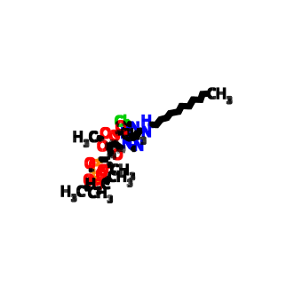 CCCCCCCCCCCCNc1nc(Cl)nc2c1ncn2[C@@H]1O[C@H](CCP(=O)(CP(=O)(OC(C)C)OC(C)C)OCC)[C@@H](OC(C)=O)[C@H]1OC(C)=O